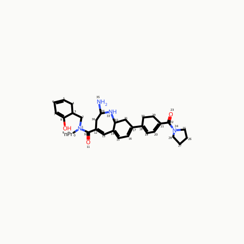 CCCN(CC1CC=CC=C1O)C(=O)C1=CC2=CC=C(C3=CC=C(C(=O)N4CCCC4)CC3)CC2NC(N)C1